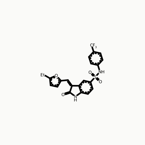 CCc1ccc(C=C2C(=O)Nc3ccc(S(=O)(=O)Nc4ccc(C(F)(F)F)cc4)cc32)o1